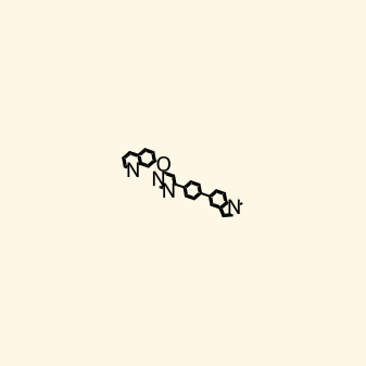 Cn1ccc2cc(-c3ccc(-c4cc(Oc5ccc6cccnc6c5)ncn4)cc3)ccc21